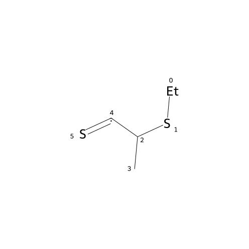 CCSC(C)[C]=S